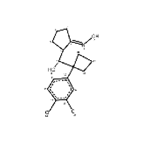 ON=C1CCCC1[C@@H](O)C1(c2ccc(Cl)c(Cl)c2)CCC1